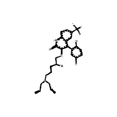 C=CCN(CC=C)CCCC(O)CSc1c(-c2cc(Cl)ccc2O)c2cc(C(F)(F)F)ccc2[nH]c1=O